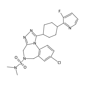 CN(C)S(=O)(=O)N1Cc2cc(Cl)ccc2-n2c(nnc2C2CCC(c3ncccc3F)CC2)C1